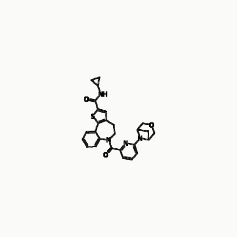 O=C(NC1CC1)c1cc2c(s1)-c1ccccc1N(C(=O)c1cccc(N3C4COCC3C4)n1)CC2